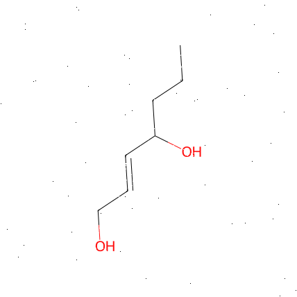 CCCC(O)C=CCO